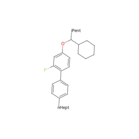 CCCCCCCc1ccc(-c2ccc(OC(C(C)CCC)C3CCCCC3)cc2F)cc1